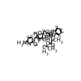 CC(C)OC(=O)[C@H](C)NP(=O)(OC[C@@]1(CCl)O[C@H]2C(n3ccc(N)nc3=O)[C@@]2(F)[C@@H]1O)Oc1ccccc1